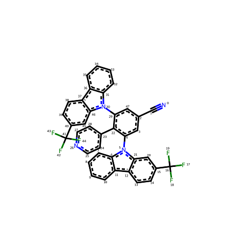 N#Cc1cc(-n2c3ccccc3c3ccc(C(F)(F)F)cc32)c(-c2ccncc2)c(-n2c3ccccc3c3ccc(C(F)(F)F)cc32)c1